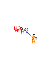 O=C(C=Cc1ccc(O)c(O)c1)NCCCCCCCC[PH](c1ccccc1)(c1ccccc1)c1ccccc1